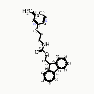 C=C/C=C(\C=C/C)SCCNC(=O)OCC1c2ccccc2-c2ccccc21